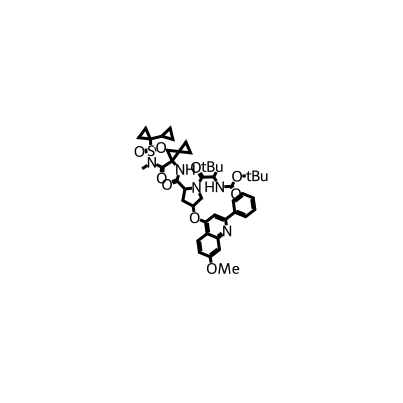 COc1ccc2c(OC3CC(C(=O)NC4(C(=O)N(C)S(=O)(=O)C5(C6CC6)CC5)CC45CC5)N(C(=O)C(NC(=O)OC(C)(C)C)C(C)(C)C)C3)cc(-c3ccccc3)nc2c1